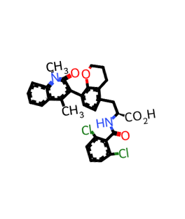 Cc1c(-c2ccc(C[C@H](NC(=O)c3c(Cl)cccc3Cl)C(=O)O)c3c2OCCC3)c(=O)n(C)c2ccccc12